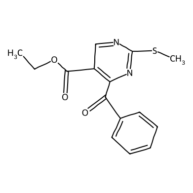 CCOC(=O)c1cnc(SC)nc1C(=O)c1ccccc1